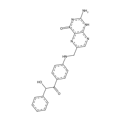 Nc1nc(=O)c2nc(CNc3ccc(C(=O)C(O)c4ccccc4)cc3)cnc2[nH]1